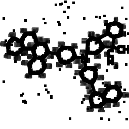 CC1(C)c2ccccc2-c2ccc(N(c3ccc(-c4cccc5ccccc45)cc3)c3ccc(-c4cc5ccc6ccccc6c5c5ccccc45)cc3)cc21